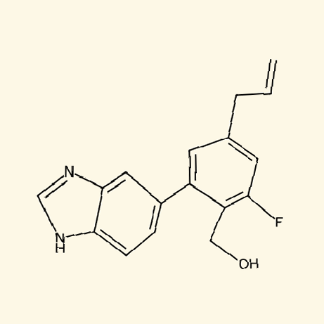 C=CCc1cc(F)c(CO)c(-c2ccc3[nH]cnc3c2)c1